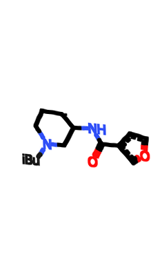 CCC(C)N1CC[CH]C(NC(=O)c2ccoc2)C1